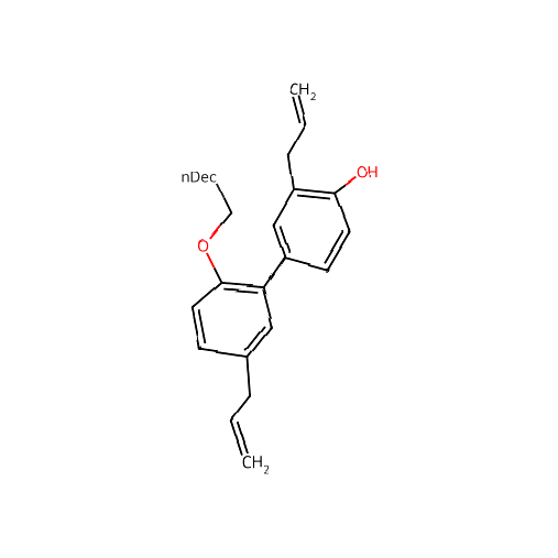 C=CCc1ccc(OCCCCCCCCCCC)c(-c2ccc(O)c(CC=C)c2)c1